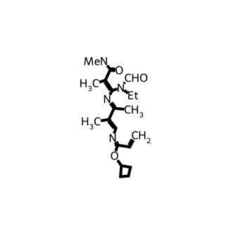 C=C\C(=N/C=C(C)/C(C)=N/C(=C(\C)C(=O)NC)N(C=O)CC)OC1CCC1